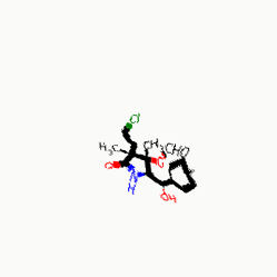 C[C@]1(CCCl)C(=O)N[C@H]([C@@H](O)[C@@H]2C=CCCC2)[C@@]1(C)OC=O